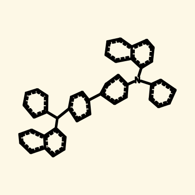 c1ccc(C(c2ccc(-c3ccc(N(c4ccccc4)c4cccc5ccccc45)cc3)cc2)c2cccc3ccccc23)cc1